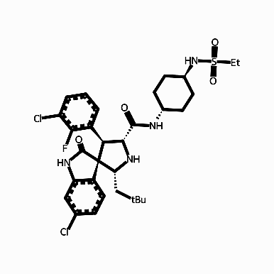 CCS(=O)(=O)N[C@H]1CC[C@H](NC(=O)[C@@H]2N[C@H](CC(C)(C)C)[C@]3(C(=O)Nc4cc(Cl)ccc43)[C@H]2c2cccc(Cl)c2F)CC1